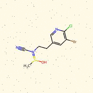 CS(O)=[N+](C#N)CCc1cnc(Cl)c(Br)c1